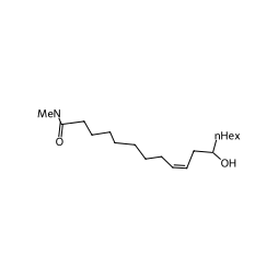 CCCCCCC(O)C/C=C\CCCCCCCC(=O)NC